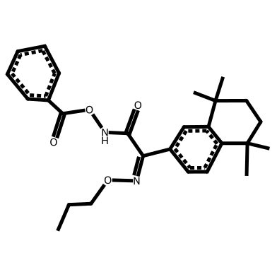 CCCON=C(C(=O)NOC(=O)c1ccccc1)c1ccc2c(c1)C(C)(C)CCC2(C)C